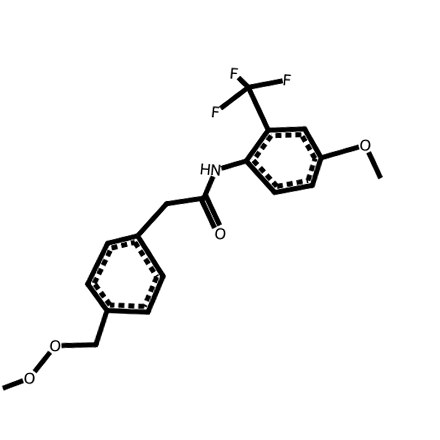 COOCc1ccc(CC(=O)Nc2ccc(OC)cc2C(F)(F)F)cc1